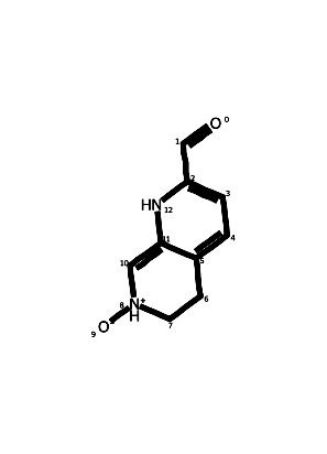 O=CC1=CC=C2CC[NH+]([O-])C=C2N1